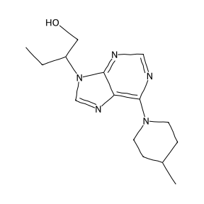 CCC(CO)n1cnc2c(N3CCC(C)CC3)ncnc21